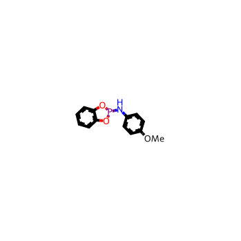 COc1ccc(NP2Oc3ccccc3O2)cc1